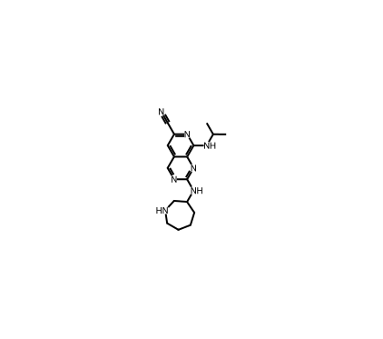 CC(C)Nc1nc(C#N)cc2cnc(NC3CCCCNC3)nc12